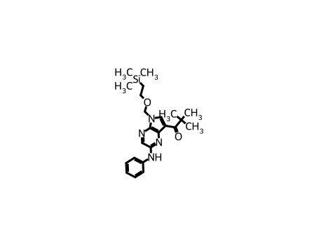 CC(C)(C)C(=O)c1cn(COCC[Si](C)(C)C)c2ncc(Nc3ccccc3)nc12